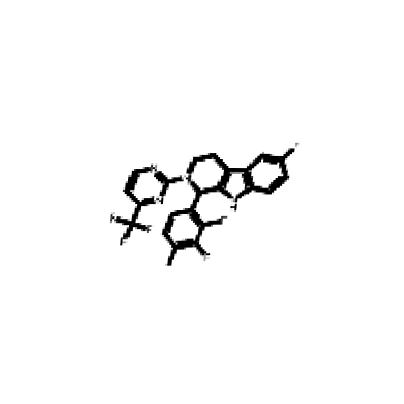 Cc1ccc(C2c3[nH]c4ccc(F)cc4c3CCN2c2nccc(C(F)(F)F)n2)c(F)c1F